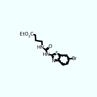 CCOC(=O)CCCNC(=O)Nc1nc2ccc(Br)cc2s1